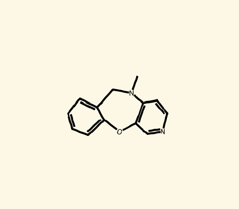 CN1Cc2ccccc2Oc2cnccc21